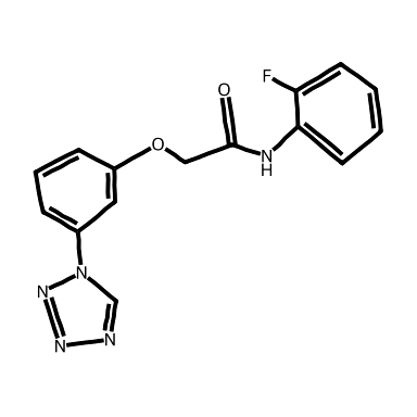 O=C(COc1cccc(-n2cnnn2)c1)Nc1ccccc1F